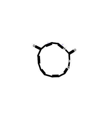 O=C1C=CC=CC=CC=NCC(=O)/N=C\C=C/1